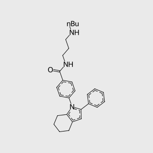 CCCCNCCCNC(=O)c1ccc(-n2c(-c3ccccc3)cc3c2CCCC3)cc1